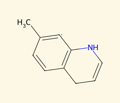 Cc1[c]c2c(cc1)CC=CN2